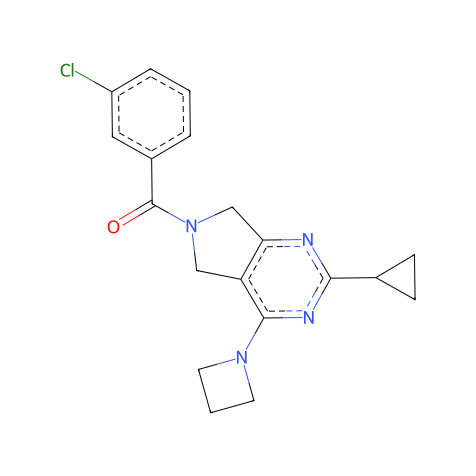 O=C(c1cccc(Cl)c1)N1Cc2nc(C3CC3)nc(N3CCC3)c2C1